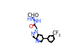 O=CNNC(=O)Cn1ncc2ncc(-c3cccc(C(F)(F)F)c3)cc21